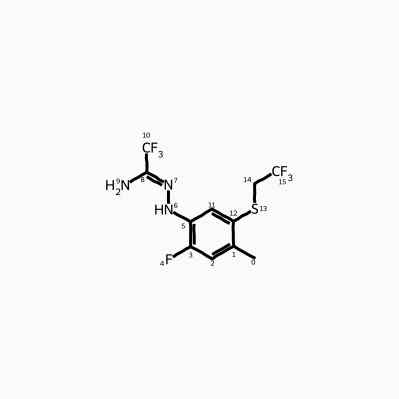 Cc1cc(F)c(N/N=C(\N)C(F)(F)F)cc1SCC(F)(F)F